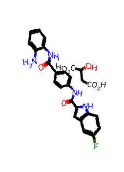 Nc1ccccc1NC(=O)c1ccc(NC(=O)c2cc3cc(F)ccc3[nH]2)cc1.O=C(O)CC(O)C(=O)O